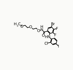 COCCOCCONC(=O)c1cc(Br)c(F)c(F)c1Nc1ccc(I)cc1Cl